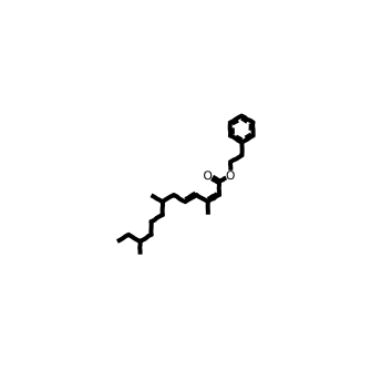 CCC(C)CCCC(C)CC=CC(C)=CC(=O)OCCc1ccccc1